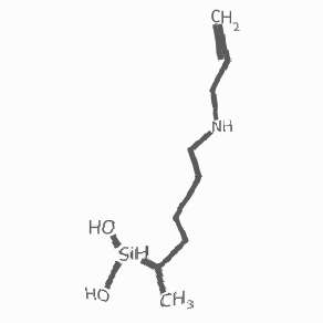 C=CCNCCCCC(C)[SiH](O)O